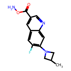 CC1CN(c2cc3ncc(C(=O)ON)cc3cc2F)C1